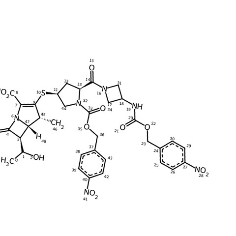 CC(O)[C@H]1C(=O)N2C(C(=O)O)=C(S[C@H]3C[C@@H](C(=O)N4CC(NC(=O)OCc5ccc([N+](=O)[O-])cc5)C4)N(C(=O)OCc4ccc([N+](=O)[O-])cc4)C3)[C@H](C)[C@H]12